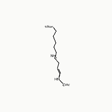 CCCCCCCCCCCCCCCCC=CNOC(C)=O.N